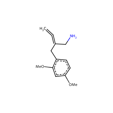 C=C=C(CN)Cc1ccc(OC)cc1OC